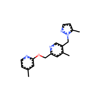 Cc1ccnc(OCc2cc(C)c(Cn3nccc3C)cn2)c1